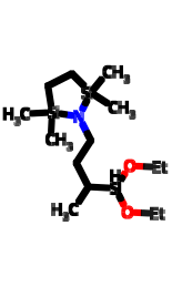 CCO[SiH](OCC)C(C)CCN1[Si](C)(C)CC[Si]1(C)C